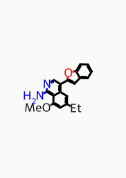 CCc1cc(OC)c2c(N)ncc(-c3cc4ccccc4o3)c2c1